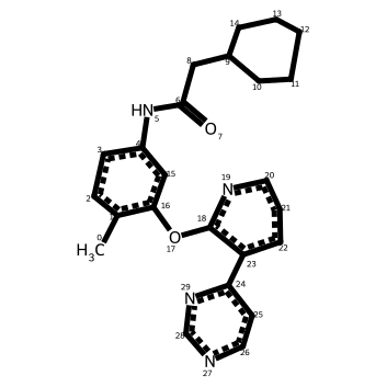 Cc1ccc(NC(=O)CC2CCCCC2)cc1Oc1ncccc1-c1ccncn1